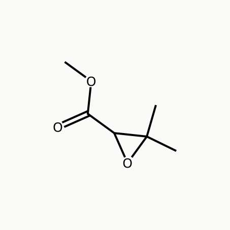 COC(=O)C1OC1(C)C